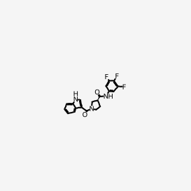 O=C(Nc1cc(F)c(F)c(F)c1)[C@H]1CCN(C(=O)c2c[nH]c3ccccc23)C1